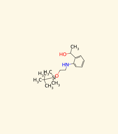 CC(O)c1ccccc1NCCO[Si](C)(C)C(C)(C)C